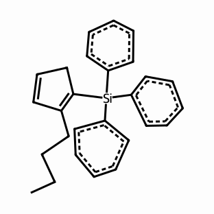 CCCCC1=C([Si](c2ccccc2)(c2ccccc2)c2ccccc2)CC=C1